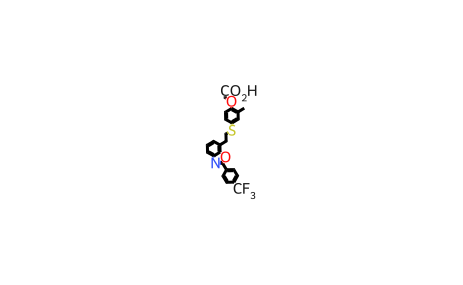 Cc1cc(SCCc2cccc3nc(-c4ccc(C(F)(F)F)cc4)oc23)ccc1OCC(=O)O